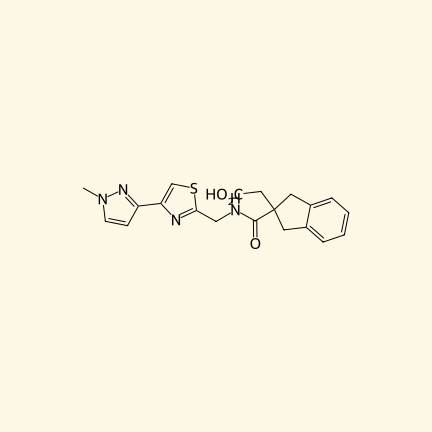 Cn1ccc(-c2csc(CNC(=O)C3(CC(=O)O)Cc4ccccc4C3)n2)n1